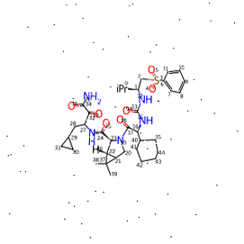 CC(C)[C@@H](CS(=O)(=O)c1ccccc1)NC(=O)N[C@H](C(=O)N1CC2[C@@H]([C@H]1C(=O)NC(CC1CC1)C(=O)C(N)=O)C2(C)C)C1CCCCC1